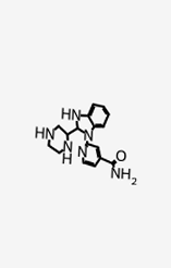 NC(=O)c1ccnc(N2c3ccccc3NC2C2CNCCN2)c1